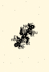 [C-]#[N+]/C(C#N)=C1\C(=Cc2cc(CC(CC)CCCC)c(-c3cc4c(-c5ccc(CC(CC)CCCC)s5)c5sc(-c6sc(C=C7C(=O)c8ccccc8/C7=C(/C#N)[N+]#[C-])cc6CC(CC)CCCC)cc5c(-c5ccc(CC(CC)CCCC)s5)c4s3)s2)C(=O)c2ccccc21